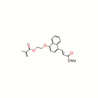 C=C(C)C(=O)OCCOc1ccc(/C=C/C(=O)OC)c2ccccc12